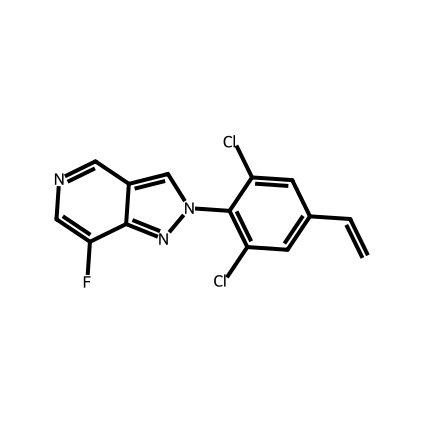 C=Cc1cc(Cl)c(-n2cc3cncc(F)c3n2)c(Cl)c1